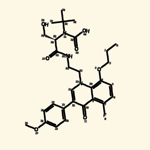 CCCOc1ccc(F)c2c(=O)c(-c3ccc(OC)cc3)cn(CCNC(=O)[C@H](CO)N(C(=O)O)C(C)(C)C)c12